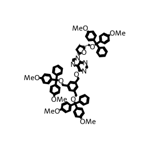 COc1ccc(C(OCc2cc(COc3ncnc4c3ncn4[C@H]3C[CH][C@H](COC(c4ccccc4)(c4ccc(OC)cc4)c4ccc(OC)cc4)O3)cc(COC(c3ccccc3)(c3ccc(OC)cc3)c3ccc(OC)cc3)c2)(c2ccccc2)c2ccc(OC)cc2)cc1